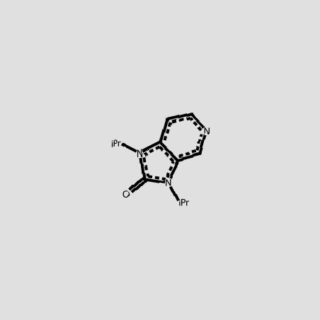 CC(C)n1c(=O)n(C(C)C)c2cnccc21